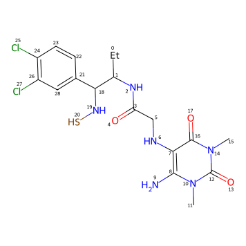 CCC(NC(=O)CNc1c(N)n(C)c(=O)n(C)c1=O)C(NS)c1ccc(Cl)c(Cl)c1